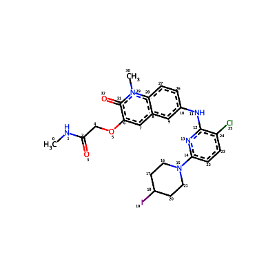 CNC(=O)COc1cc2cc(Nc3nc(N4CCC(I)CC4)ccc3Cl)ccc2n(C)c1=O